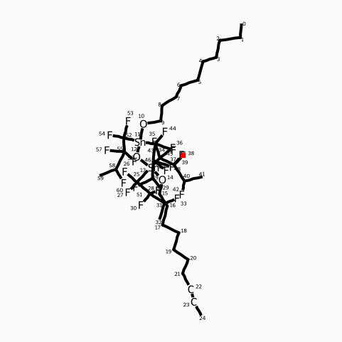 CCCCCCCCCC[O][Sn]([O][Sn]([O]CCCCCCCCCC)([C](F)(F)C(F)(F)C(C)F)[C](F)(F)C(F)(F)C(C)F)([C](F)(F)C(F)(F)C(C)F)[C](F)(F)C(F)(F)C(C)F